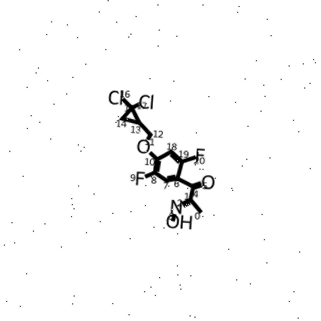 CC(=NO)C(=O)c1cc(F)c(OCC2CC2(Cl)Cl)cc1F